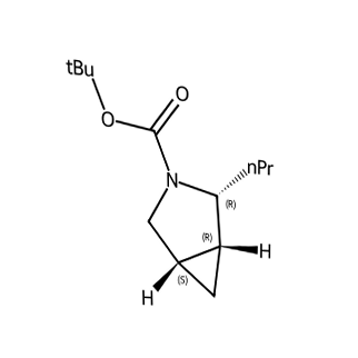 CCC[C@@H]1[C@@H]2C[C@@H]2CN1C(=O)OC(C)(C)C